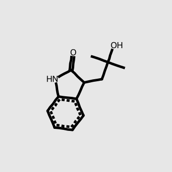 CC(C)(O)CC1C(=O)Nc2ccccc21